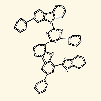 c1ccc(-c2cc(-c3nc4ccccc4s3)c3oc4c(-c5nc(-c6ccccc6)nc(-n6c7ccccc7c7ccc(-c8ccccc8)cc76)n5)cccc4c3c2)cc1